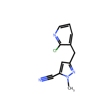 Cn1nc(Cc2cccnc2Cl)cc1C#N